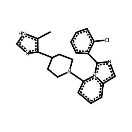 Cc1[nH]cnc1C1CCN(c2cccc3cnc(-c4ccccc4Cl)n23)CC1